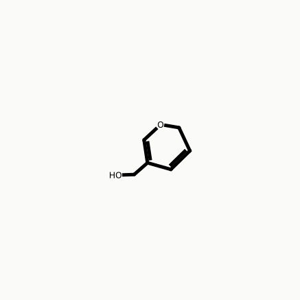 OCC1=COCC=C1